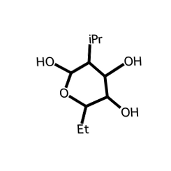 CCC1OC(O)C(C(C)C)C(O)C1O